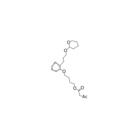 CC(=O)CC(=O)OCCCCOc1ccccc1CCCOC1CCCCO1